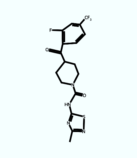 Cc1nsc(NC(=O)N2CCC(C(=O)c3ccc(C(F)(F)F)cc3F)CC2)n1